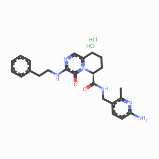 Cc1nc(N)ccc1CNC(=O)[C@@H]1CCCc2cnc(NCCc3ccccc3)c(=O)n21.Cl.Cl